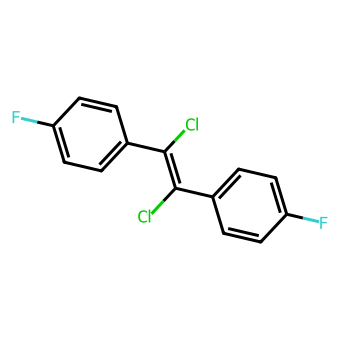 Fc1ccc(C(Cl)=C(Cl)c2ccc(F)cc2)cc1